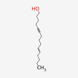 CCCCC=CCCCC#CCCCCO